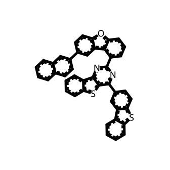 c1ccc2cc(-c3ccc4oc5cccc(-c6nc(-c7ccc8sc9ccccc9c8c7)c7sc8ccccc8c7n6)c5c4c3)ccc2c1